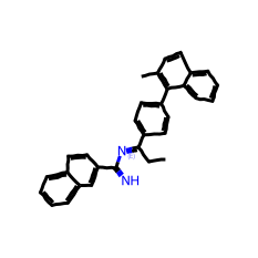 CC/C(=N\C(=N)c1ccc2ccccc2c1)c1ccc(-c2c(C)ccc3ccccc23)cc1